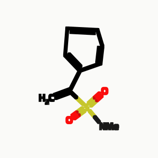 C=C(c1ccccc1)S(=O)(=O)NC